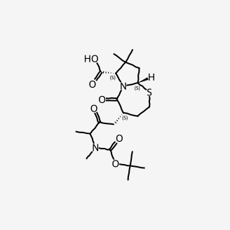 CC(C(=O)C[C@H]1CCS[C@H]2CC(C)(C)[C@@H](C(=O)O)N2C1=O)N(C)C(=O)OC(C)(C)C